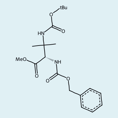 COC(=O)[C@@H](NC(=O)OCc1ccccc1)C(C)(C)NC(=O)OC(C)(C)C